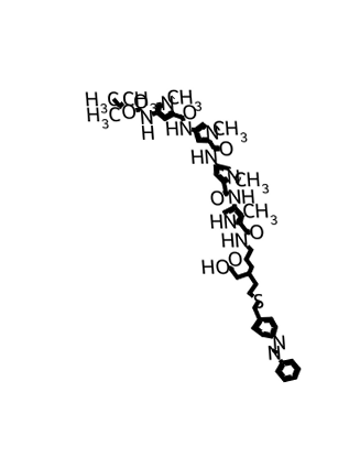 Cc1c(NC(=O)c2cc(NC(=O)c3cc(NC(=O)c4cc(NC(=O)OC(C)(C)C)cn4C)cn3C)cn2C)c[nH]c1C(=O)NCCCC(CCSCc1ccc(N=Nc2ccccc2)cc1)CC(=O)O